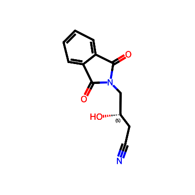 N#CC[C@H](O)CN1C(=O)c2ccccc2C1=O